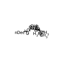 CCCCCCCCCCCC(=O)OC[C@H](COP(=O)(O)OCC[N+](C)(C)C)OO